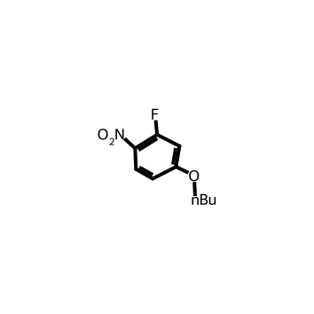 CCCCOc1ccc([N+](=O)[O-])c(F)c1